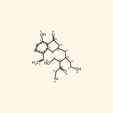 C=Cc1ccc(O)c2c1CC(CC(CCO)C(CO)C(=O)CC(C)=O)CC2=O